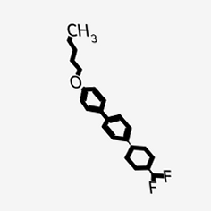 CCCCCOc1ccc(-c2ccc([C@H]3CC[C@H](C(F)F)CC3)cc2)cc1